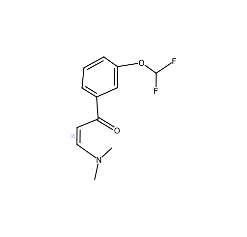 CN(C)/C=C\C(=O)c1cccc(OC(F)F)c1